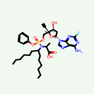 C#C[C@]1(COP(=O)(Oc2ccccc2)N(C(CCCCCC)CCCCCC)C(C)C(=O)O)O[C@@H](n2cnc3c(N)nc(F)nc32)C[C@@H]1O